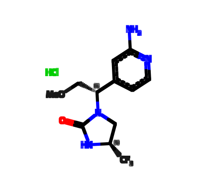 COC[C@H](c1ccnc(N)c1)N1C[C@@H](C(F)(F)F)NC1=O.Cl